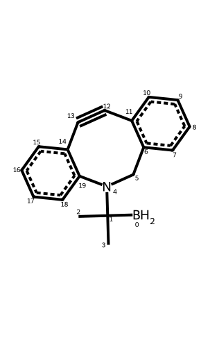 BC(C)(C)N1Cc2ccccc2C#Cc2ccccc21